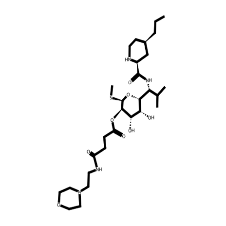 CCC[C@@H]1CCN[C@H](C(=O)N[C@H](C(C)C)[C@H]2O[C@H](SC)[C@H](OC(=O)CCC(=O)NCCN3CCOCC3)[C@@H](O)[C@H]2O)C1